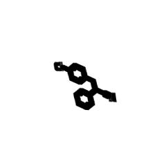 N#C/C(=C/c1ccc(Cl)cc1)c1ccccc1